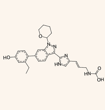 CCc1cc(O)ccc1-c1ccc2c(-c3nc(C=CCNC(=O)O)c[nH]3)nn(C3CCCCO3)c2c1